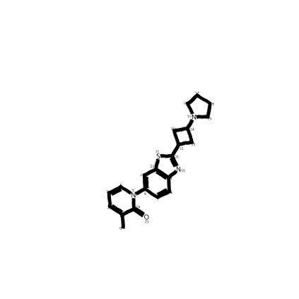 Cc1cccn(-c2ccc3nc(C4CC(N5CCCC5)C4)sc3c2)c1=O